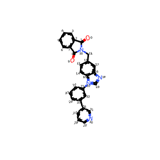 O=C1c2ccccc2C(=O)N1Cc1ccc2c(c1)ncn2-c1cccc(-c2cccnc2)c1